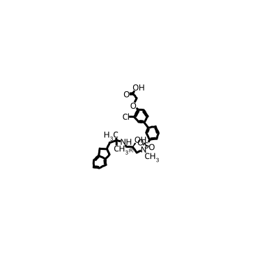 CN(C[C@H](O)CNC(C)(C)CC1Cc2ccccc2C1)S(=O)(=O)c1cccc(-c2ccc(OCC(=O)O)c(Cl)c2)c1